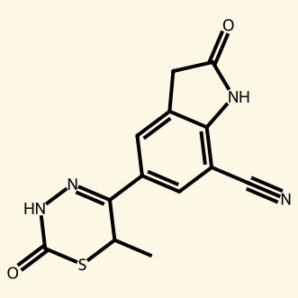 CC1SC(=O)NN=C1c1cc(C#N)c2c(c1)CC(=O)N2